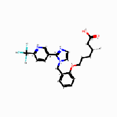 C[C@H](CCCOc1ccccc1Cn1ccnc1-c1ccc(C(F)(F)F)nc1)CC(=O)O